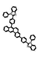 c1ccc(-n2c(-c3ccc(-c4ccc5c(ccc6c(-c7ccc(-c8nc9ccccc9n8-c8ccccc8)cc7)c7ccccc7cc65)c4)cc3)nc3ccccc32)cc1